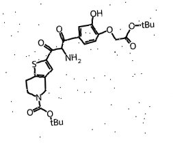 CC(C)(C)OC(=O)COc1ccc(C(=O)C(N)C(=O)c2cc3c(s2)CCN(C(=O)OC(C)(C)C)C3)cc1O